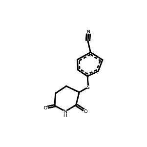 N#Cc1ccc(SC2CCC(=O)NC2=O)cc1